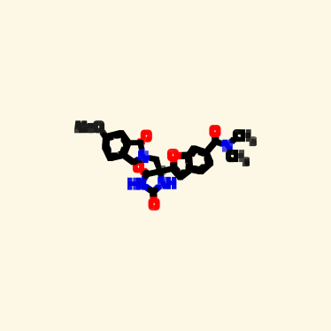 COc1ccc2c(c1)C(=O)N(C[C@@]1(c3cc4ccc(C(=O)N(C)C)cc4o3)NC(=O)NC1=O)C2